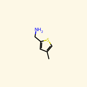 Cc1csc(CN)c1